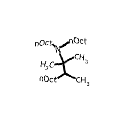 CCCCCCCCC(C)C(C)(C)N(CCCCCCCC)CCCCCCCC